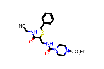 CCOC(=O)N1CCN(C(=O)NCC(SCc2ccccc2)C(=O)NCC#N)CC1